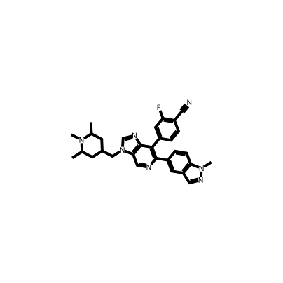 CC1CC(Cn2cnc3c(-c4ccc(C#N)c(F)c4)c(-c4ccc5c(cnn5C)c4)ncc32)CC(C)N1C